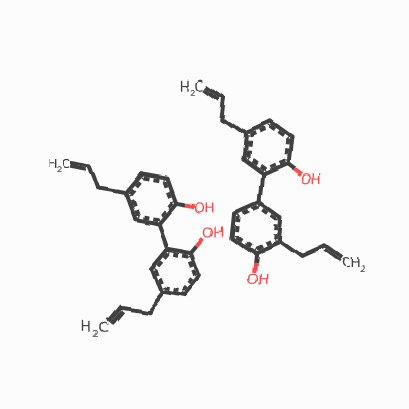 C=CCc1ccc(O)c(-c2cc(CC=C)ccc2O)c1.C=CCc1ccc(O)c(-c2ccc(O)c(CC=C)c2)c1